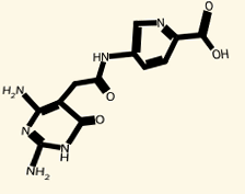 Nc1nc(N)c(CC(=O)Nc2ccc(C(=O)O)nc2)c(=O)[nH]1